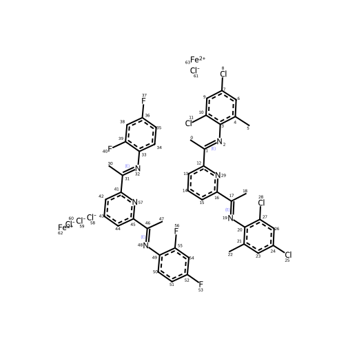 C/C(=N\c1c(C)cc(Cl)cc1Cl)c1cccc(/C(C)=N/c2c(C)cc(Cl)cc2Cl)n1.C/C(=N\c1ccc(F)cc1F)c1cccc(/C(C)=N/c2ccc(F)cc2F)n1.[Cl-].[Cl-].[Cl-].[Cl-].[Fe+2].[Fe+2]